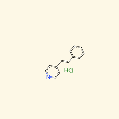 C(=Cc1ccncc1)c1ccccc1.Cl